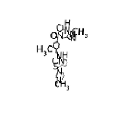 Cc1cc(C(=O)N2Cc3cnn(C)c3Nc3ccccc32)ccc1CNC(=O)N1CCC[C@H]1C(=S)N1CCCN(C)CC1